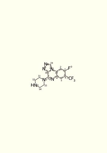 Fc1cc2c(cc1C(F)(F)F)nc(N1CCNCC1)c1nncn12